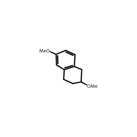 COc1ccc2c(c1)CCC(OC)C2